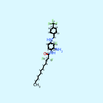 CCCCCCCCC[C@H](F)[C@@H](F)C(=O)Nc1ccc(NCc2ccc(C(F)(F)F)cc2)c(F)c1N